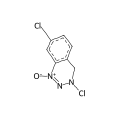 [O-][N+]1=NN(Cl)Cc2ccc(Cl)cc21